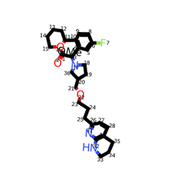 COC(=O)C(c1cc(F)ccc1C1CCCCO1)N1CCC(COCCCc2ccc3c(n2)NCCC3)C1